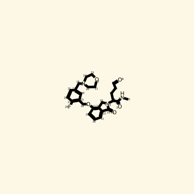 CNC(=O)C(CCC=O)N1Cc2c(OCc3cc(CN4CCOCC4)ccc3F)cccc2C1=O